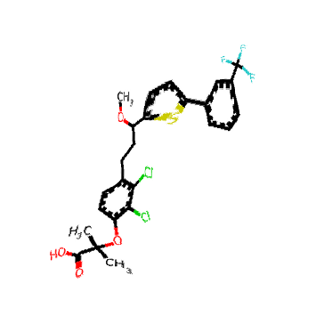 COC(CCc1ccc(OC(C)(C)C(=O)O)c(Cl)c1Cl)c1ccc(-c2cccc(C(F)(F)F)c2)s1